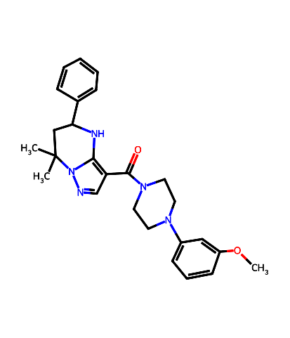 COc1cccc(N2CCN(C(=O)c3cnn4c3NC(c3ccccc3)CC4(C)C)CC2)c1